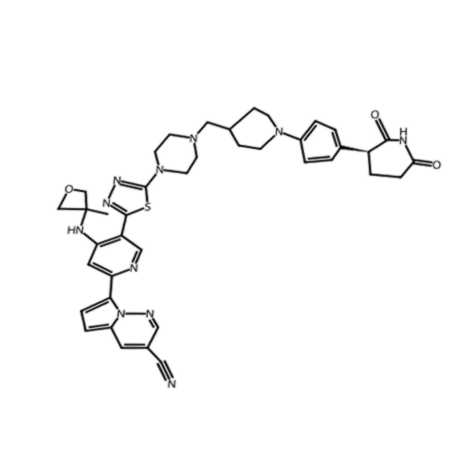 CC1(Nc2cc(-c3ccc4cc(C#N)cnn34)ncc2-c2nnc(N3CCN(CC4CCN(c5ccc([C@@H]6CCC(=O)NC6=O)cc5)CC4)CC3)s2)COC1